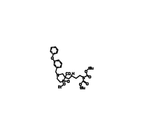 CCOP1(=O)CCN(Cc2cccc(Oc3ccccc3)c2)CC1(CCCCN(C(=O)OC(C)(C)C)C(=O)OC(C)(C)C)C(=O)O